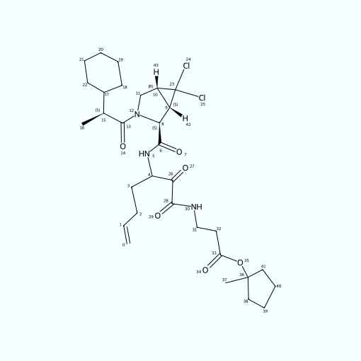 C=CCCC(NC(=O)[C@@H]1[C@@H]2[C@H](CN1C(=O)[C@@H](C)C1CCCCC1)C2(Cl)Cl)C(=O)C(=O)NCCC(=O)OC1(C)CCCC1